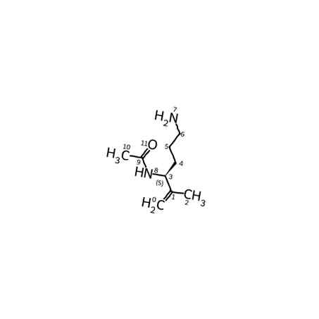 C=C(C)[C@H](CCCN)NC(C)=O